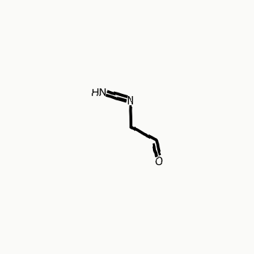 N=NCC=O